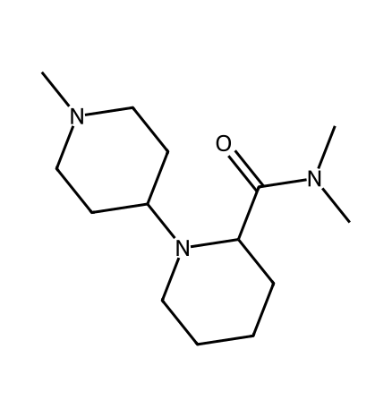 CN1CCC(N2CCCCC2C(=O)N(C)C)CC1